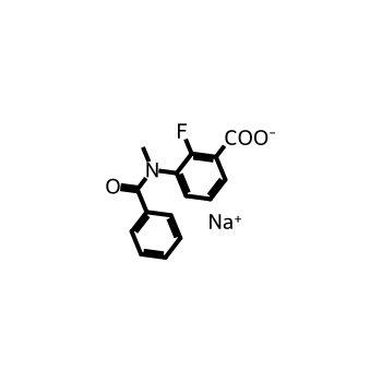 CN(C(=O)c1ccccc1)c1cccc(C(=O)[O-])c1F.[Na+]